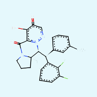 COc1cccc([C@@H](c2cccc(F)c2F)[C@H]2[C@H]3CCCN3C(=O)c3c(O)c(=O)cnn32)c1